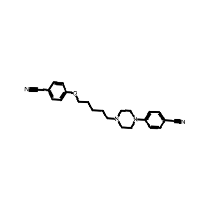 N#Cc1ccc(OCCCCCN2CCN(c3ccc(C#N)cc3)CC2)cc1